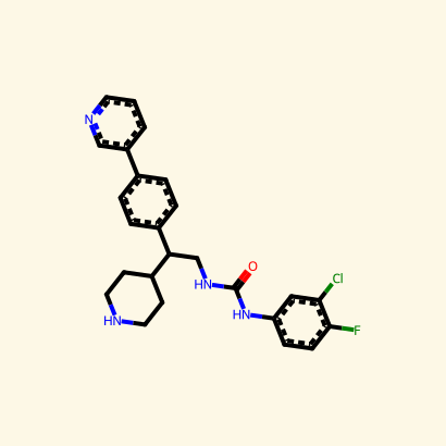 O=C(NCC(c1ccc(-c2cccnc2)cc1)C1CCNCC1)Nc1ccc(F)c(Cl)c1